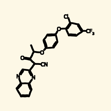 CC(Oc1ccc(Oc2ccc(C(F)(F)F)cc2Cl)cc1)C(=O)C(C#N)c1cnc2ccccc2n1